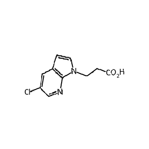 O=C(O)CCn1ccc2cc(Cl)cnc21